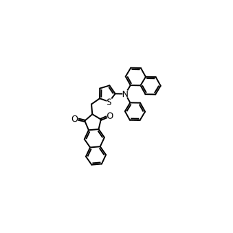 O=C1c2cc3ccccc3cc2C(=O)C1Cc1ccc(N(c2ccccc2)c2cccc3ccccc23)s1